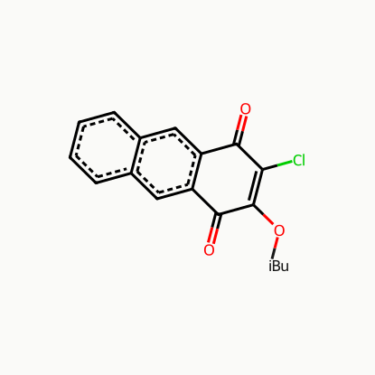 CCC(C)OC1=C(Cl)C(=O)c2cc3ccccc3cc2C1=O